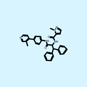 Cc1cnccc1-c1ccc(NC(=O)C(NC(=O)c2ccnn2C)C(c2ccccc2)c2ccccc2)cc1